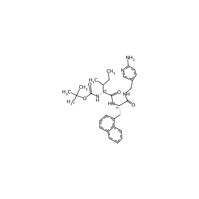 CCC(C)[C@@H](NC(=O)OC(C)(C)C)C(=O)N[C@@H](Cc1cccc2ccccc12)C(=O)NCc1ccc(N)nc1